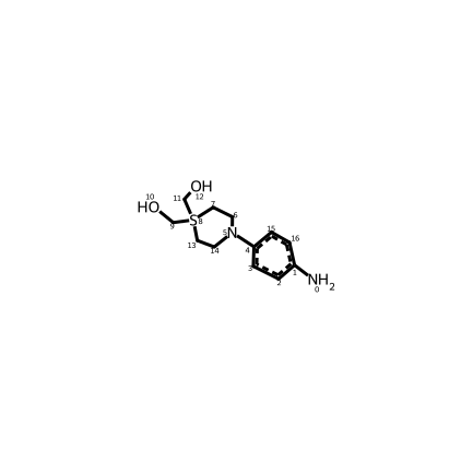 Nc1ccc(N2CCS(CO)(CO)CC2)cc1